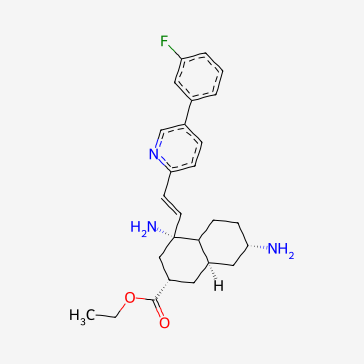 CCOC(=O)[C@H]1C[C@@H]2C[C@@H](N)CCC2[C@](N)(/C=C/c2ccc(-c3cccc(F)c3)cn2)C1